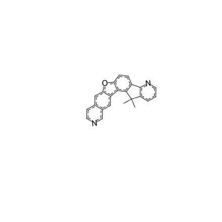 CC1(C)c2cccnc2-c2ccc3oc4cc5ccncc5cc4c3c21